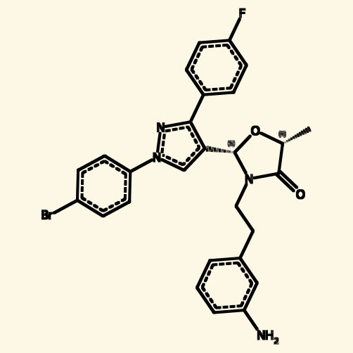 C[C@H]1O[C@@H](c2cn(-c3ccc(Br)cc3)nc2-c2ccc(F)cc2)N(CCc2cccc(N)c2)C1=O